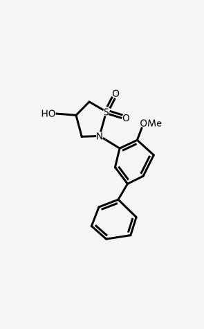 COc1ccc(-c2ccccc2)cc1N1CC(O)CS1(=O)=O